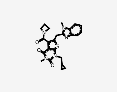 Cn1c(=O)c2c(C(=O)N3CCC3)c(Cc3nc4ccccc4n3C)sc2n(CC2CC2)c1=O